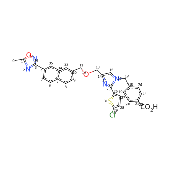 Cc1nc(-c2ccc3ccc(COCc4cn(Cc5ccc(C(=O)O)cc5)c(-c5ccc(Cl)s5)n4)cc3c2)no1